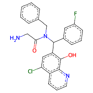 NCC(=O)N(Cc1ccccc1)C(c1cccc(F)c1)c1cc(Cl)c2cccnc2c1O